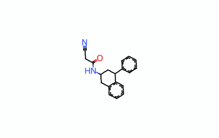 N#CCC(=O)NC1Cc2ccccc2C(c2ccccc2)C1